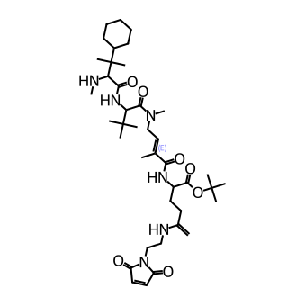 C=C(CCC(NC(=O)/C(C)=C/CN(C)C(=O)C(NC(=O)C(NC)C(C)(C)C1CCCCC1)C(C)(C)C)C(=O)OC(C)(C)C)NCCN1C(=O)C=CC1=O